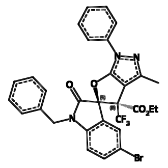 CCOC(=O)[C@@]1(C(F)(F)F)c2c(C)nn(-c3ccccc3)c2O[C@@]12C(=O)N(Cc1ccccc1)c1ccc(Br)cc12